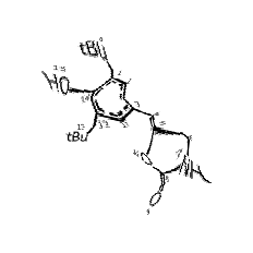 CC(C)(C)c1cc(C=C2CNC(=O)O2)cc(C(C)(C)C)c1O